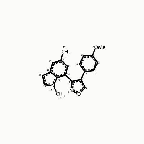 COc1ccc(-c2conc2-c2cc(C)cc3ccn(C)c23)cc1